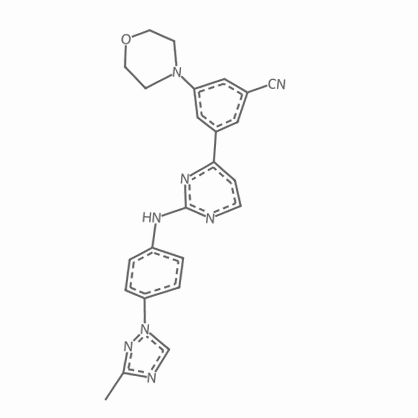 Cc1ncn(-c2ccc(Nc3nccc(-c4cc(C#N)cc(N5CCOCC5)c4)n3)cc2)n1